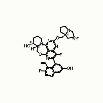 C=Cc1c(F)ccc2cc(O)cc(-c3nc4c5c(nc(OC[C@@]67CCCN6C[C@H](F)C7)nc5c3F)N3CCC[C@@H](O)[C@H]3CO4)c12